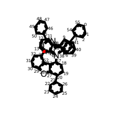 c1ccc(-c2ccc3c(c2)c2ccccc2n3-c2ccc(-c3ccccc3)c3oc4cccc(-c5nc(-c6ccccc6)nc(-c6ccccc6)n5)c4c23)cc1